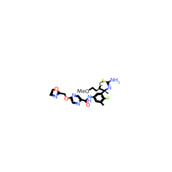 COCC[C@H]1CSC(N)=N[C@]1(C)c1cc(NC(=O)c2cnc(OCc3ncco3)cn2)cc(C)c1F